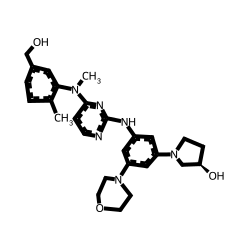 Cc1ccc(CO)cc1N(C)c1ccnc(Nc2cc(N3CCOCC3)cc(N3CC[C@@H](O)C3)c2)n1